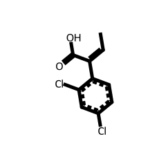 CC=C(C(=O)O)c1ccc(Cl)cc1Cl